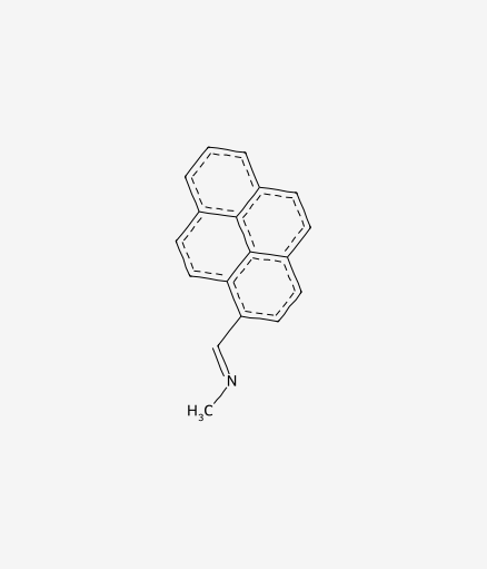 CN=Cc1ccc2ccc3cccc4ccc1c2c34